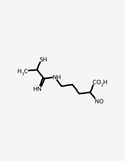 CC(S)C(=N)NCCCC(N=O)C(=O)O